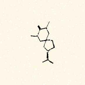 CC(C)=C1CCC2(C1)CC(C)C(=O)C(C)C2